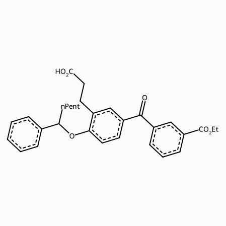 CCCCCC(Oc1ccc(C(=O)c2cccc(C(=O)OCC)c2)cc1CCC(=O)O)c1ccccc1